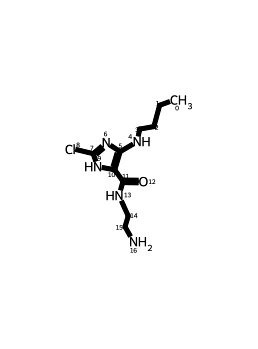 CCCCNc1nc(Cl)[nH]c1C(=O)NCCN